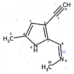 C#Cc1cc(C)[nH]c1/C=N\C